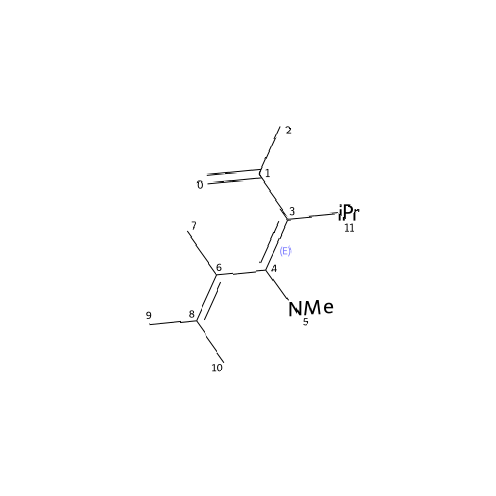 C=C(C)/C(=C(/NC)C(C)=C(C)C)C(C)C